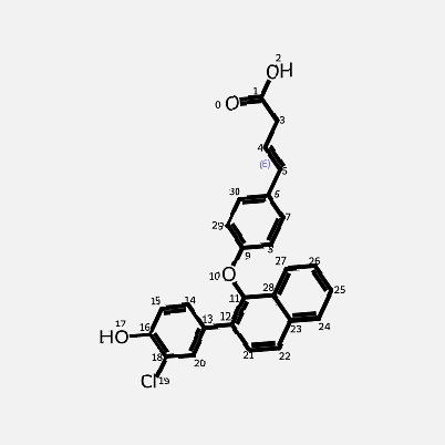 O=C(O)C/C=C/c1ccc(Oc2c(-c3ccc(O)c(Cl)c3)ccc3ccccc23)cc1